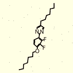 CCCCCCCOc1ccc(-c2ncc(CCCCCCC)cn2)c(F)c1F